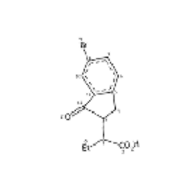 CCC(C(=O)O)C1Cc2ccc(Br)cc2C1=O